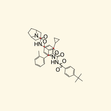 Cc1ccccc1-c1noc(C2CC2)c1COC1CC2CCC(C1)N2C(=O)Nc1ccc(C(=O)NS(=O)(=O)c2ccc(C(C)(C)C)cc2)cc1